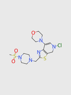 CS(=O)(=O)N1CCN(Cc2nc3c(s2)CN(Cl)C=C3N2CCOCC2)CC1